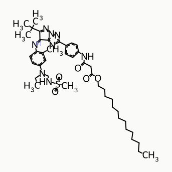 CCCCCCCCCCCCCCOC(=O)CC(=O)Nc1ccc(-c2nc3n(n2)N=C(C(C)(C)C)/C3=N/c2ccc(N(CC)CNS(C)(=O)=O)cc2C)cc1